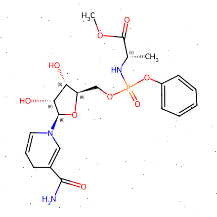 COC(=O)[C@H](C)NP(=O)(OC[C@H]1O[C@@H](N2C=CCC(C(N)=O)=C2)[C@H](O)[C@@H]1O)Oc1ccccc1